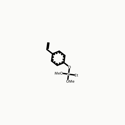 C=Cc1ccc(O[Si](CC)(OC)OC)cc1